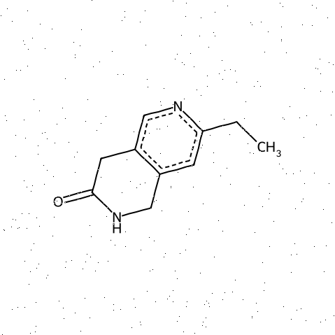 CCc1cc2c(cn1)CC(=O)NC2